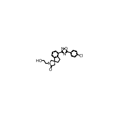 O=C1C[C@@]2(CCc3c(-c4noc(-c5ccc(Cl)cc5)n4)cccc32)CN1CCO